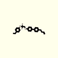 C=CCCc1ccc(-c2ccc(OCC(F)(F)Oc3ccc(CC)cc3)cc2)cc1